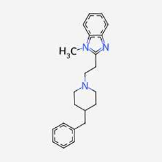 Cn1c(CCN2CCC(Cc3ccccc3)CC2)nc2ccccc21